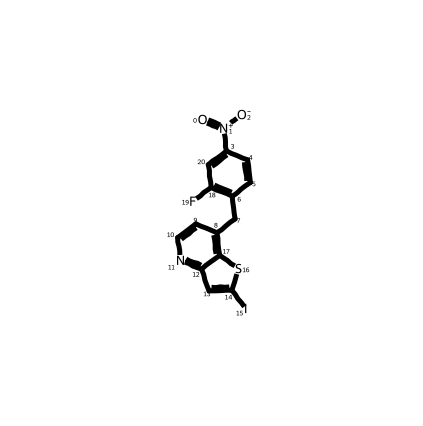 O=[N+]([O-])c1ccc(Cc2ccnc3cc(I)sc23)c(F)c1